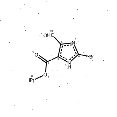 CC(C)OC(=O)c1[nH]c(Br)nc1C=O